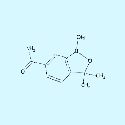 CC1(C)OB(O)c2cc(C(N)=O)ccc21